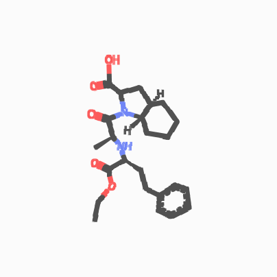 CCOC(=O)[C@H](CCc1ccccc1)N[C@@H](C)C(=O)N1C(C(=O)O)C[C@H]2CCCC[C@@H]21